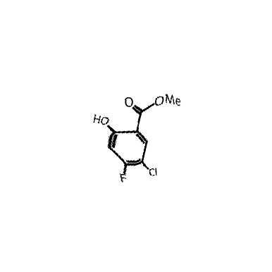 COC(=O)c1cc(Cl)c(F)cc1O